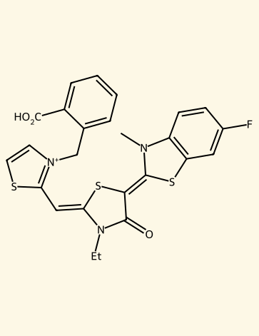 CCn1c(=O)/c(=C2\Sc3cc(F)ccc3N2C)s/c1=C\c1scc[n+]1Cc1ccccc1C(=O)O